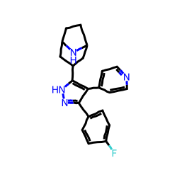 Fc1ccc(-c2n[nH]c(C3CC4CCC(C3)N4)c2-c2ccncc2)cc1